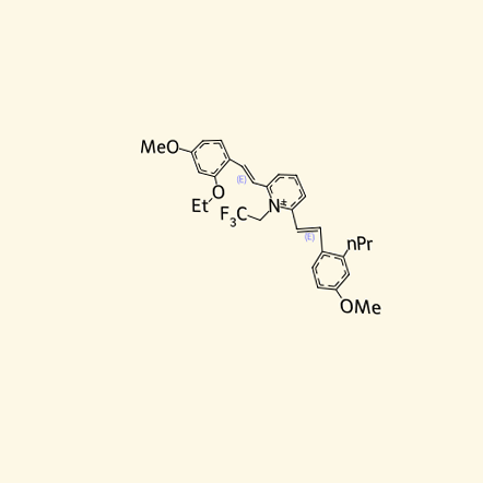 CCCc1cc(OC)ccc1/C=C/c1cccc(/C=C/c2ccc(OC)cc2OCC)[n+]1CC(F)(F)F